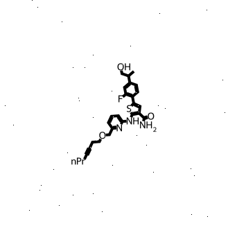 CCCC#CCCOCc1cccc(Nc2sc(-c3ccc(C(C)CO)cc3F)cc2C(N)=O)n1